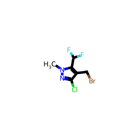 Cn1nc(Cl)c(CBr)c1C(F)F